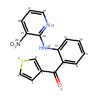 O=C(c1ccsc1)c1ccccc1Nc1ncccc1[N+](=O)[O-]